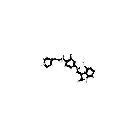 Cc1cc(N/C=C2/C(=O)Nc3cccc(F)c32)ccc1NCCc1ccncc1